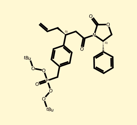 C=CC[C@@H](CC(=O)N1C(=O)OC[C@@H]1c1ccccc1)c1ccc(CP(=O)(OOC(C)(C)C)OOC(C)(C)C)cc1